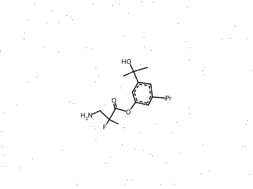 CC(C)c1cc(OC(=O)C(C)(F)CN)cc(C(C)(C)O)c1